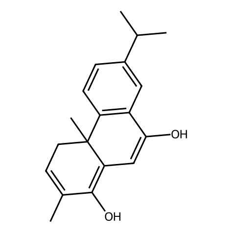 CC1=CCC2(C)C(=C1O)C=C(O)c1cc(C(C)C)ccc12